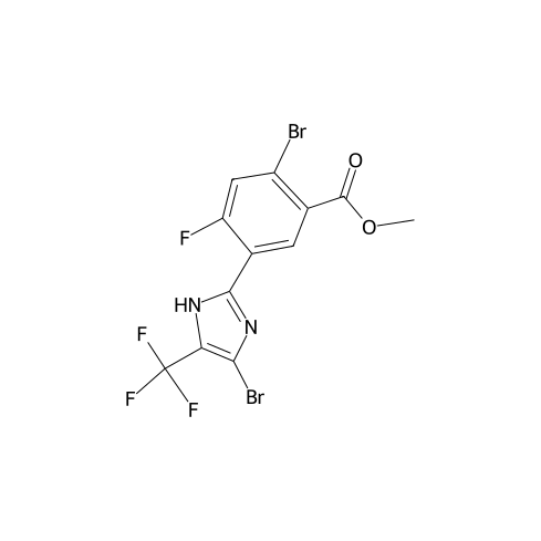 COC(=O)c1cc(-c2nc(Br)c(C(F)(F)F)[nH]2)c(F)cc1Br